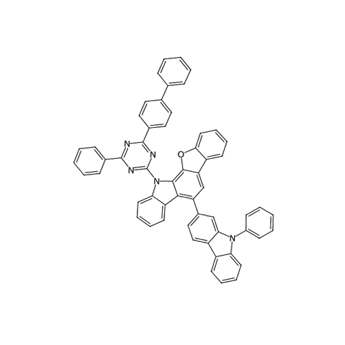 c1ccc(-c2ccc(-c3nc(-c4ccccc4)nc(-n4c5ccccc5c5c(-c6ccc7c8ccccc8n(-c8ccccc8)c7c6)cc6c7ccccc7oc6c54)n3)cc2)cc1